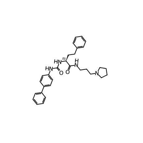 O=C(Nc1ccc(-c2ccccc2)cc1)N[C@@H](CCc1ccccc1)C(=O)NCCCN1CCCC1